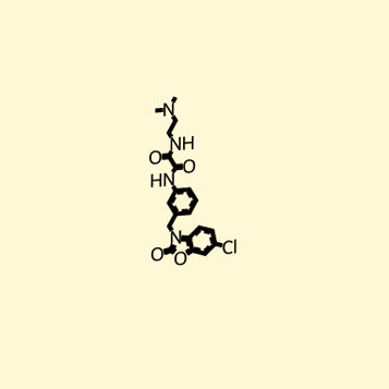 CN(C)CCNC(=O)C(=O)Nc1cccc(Cn2c(=O)oc3cc(Cl)ccc32)c1